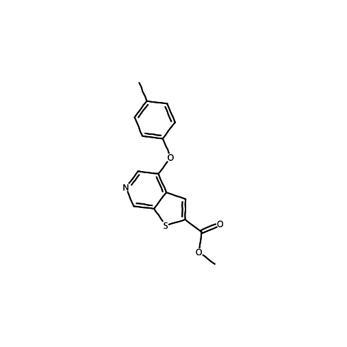 COC(=O)c1cc2c(Oc3ccc(C)cc3)cncc2s1